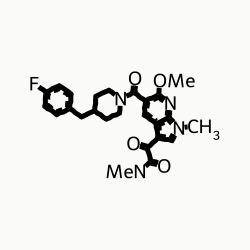 CNC(=O)C(=O)c1cn(C)c2nc(OC)c(C(=O)N3CCC(Cc4ccc(F)cc4)CC3)cc12